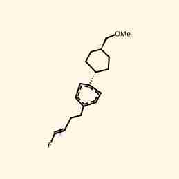 COC[C@H]1CC[C@H](c2ccc(CC/C=C/F)cc2)CC1